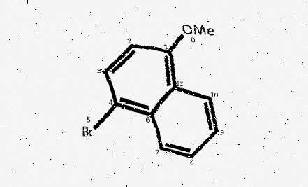 COc1c[c]c(Br)c2ccccc12